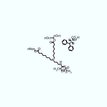 CCCCCCCCCOC(=O)CCCCCCCN(CCCCCCCC(=O)OC(CCCCCCCC)CCCCCCCC)CCCN/C(=N/S(C)(=O)=O)N(C)C.O=C(O)NS(=O)(=O)C(c1ccccc1)c1ccccc1